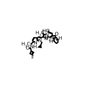 Cc1c(-c2cc3ccc([C@@H](C)NC(=O)C45CC(F)(C4)C5)nc3n2CC2CC2)nc2cc(C(=O)N3[C@H]4CC[C@@H]3[C@H](N)C4)cc(O)n12